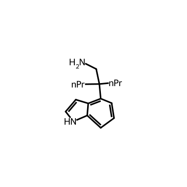 CCCC(CN)(CCC)c1cccc2[nH]ccc12